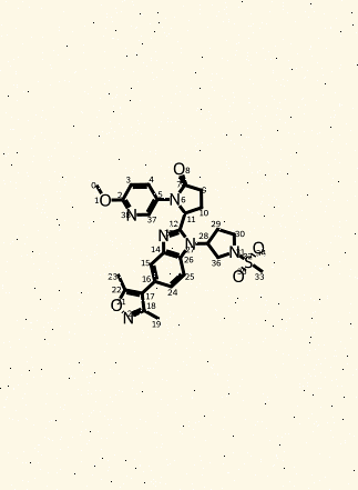 COc1ccc(N2C(=O)CCC2c2nc3cc(-c4c(C)noc4C)ccc3n2C2CCN(S(C)(=O)=O)C2)cn1